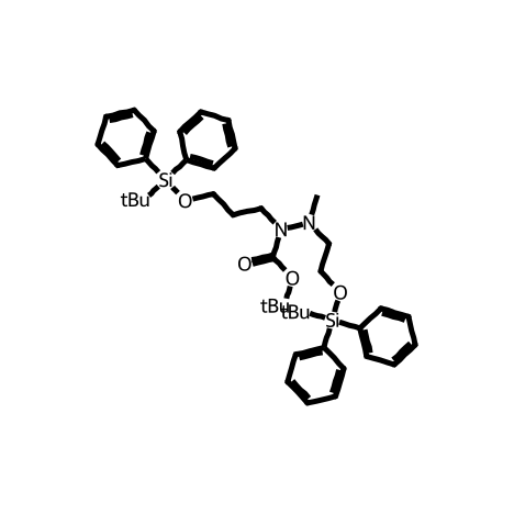 CN(CCO[Si](c1ccccc1)(c1ccccc1)C(C)(C)C)N(CCCO[Si](c1ccccc1)(c1ccccc1)C(C)(C)C)C(=O)OC(C)(C)C